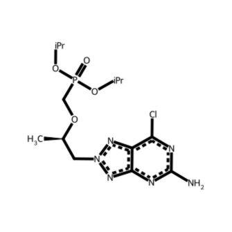 CC(C)OP(=O)(CO[C@H](C)Cn1nc2nc(N)nc(Cl)c2n1)OC(C)C